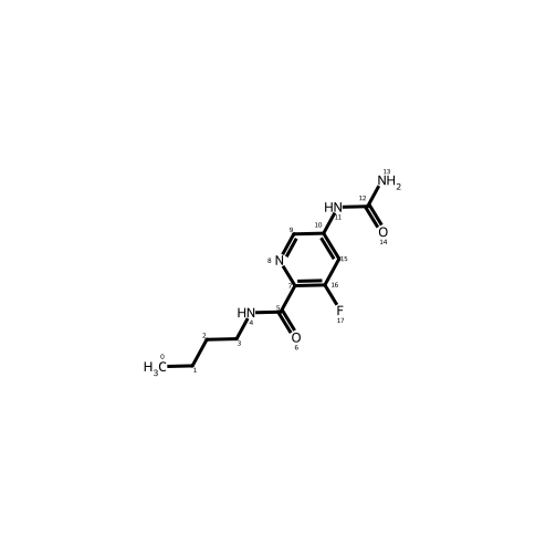 CCCCNC(=O)c1ncc(NC(N)=O)cc1F